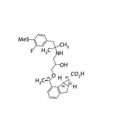 CSc1ccc(CC(C)(C)NCC(O)CO[C@H](C)c2cccc3c2[C@@H]2[C@H](C3)[C@H]2C(=O)O)cc1F